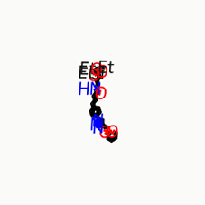 CCO[Si](CCCNC(=O)CCCc1ccc(-n2cc(COC3CCCCO3)nn2)cc1)(OCC)OCC